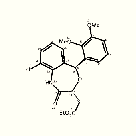 CCOC(=O)C[C@H]1O[C@H](c2cccc(OC)c2OC)c2cccc(Cl)c2NC1=O